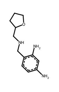 Nc1ccc(CNCC2CCCO2)c(N)c1